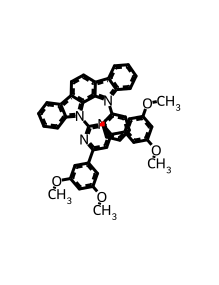 COc1cc(OC)cc(-c2cc(-c3cc(OC)cc(OC)c3)nc(-n3c4ccccc4c4ccc5c6ccccc6n(-c6ccccc6)c5c43)n2)c1